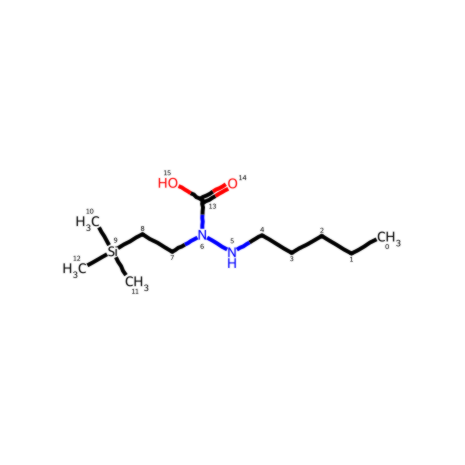 CCCCCNN(CC[Si](C)(C)C)C(=O)O